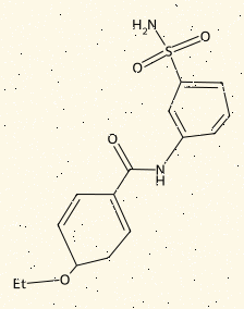 CCOC1C=CC(C(=O)Nc2cccc(S(N)(=O)=O)c2)=CC1